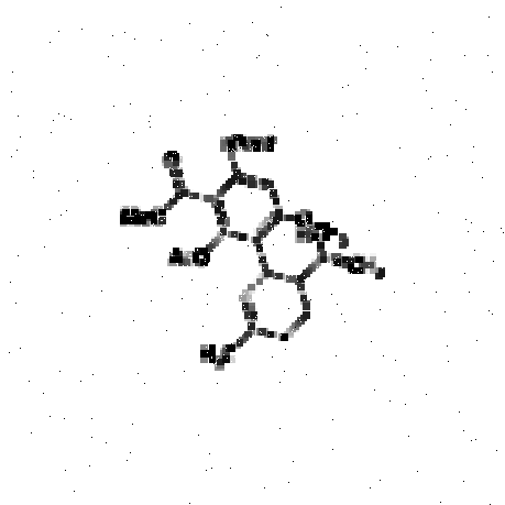 C=C(C)C1CCC(C)=CC1c1c(O)cc(CCCCC)c(C(=O)OC)c1OC(C)=O